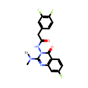 CCN(C)c1nc2cc(F)ccc2c(=O)n1NC(=O)Cc1ccc(F)c(F)c1